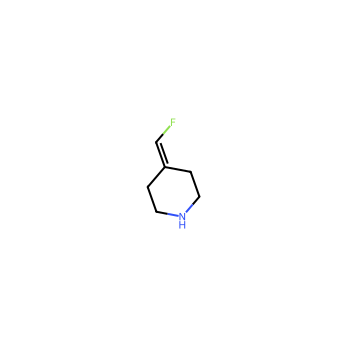 FC=C1CCNCC1